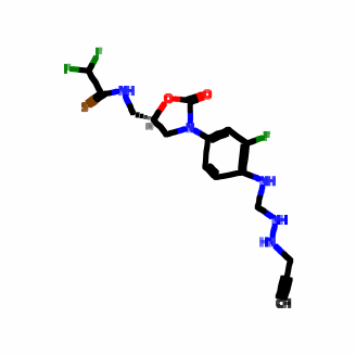 C#CCNNCNc1ccc(N2C[C@H](CNC(=S)C(F)F)OC2=O)cc1F